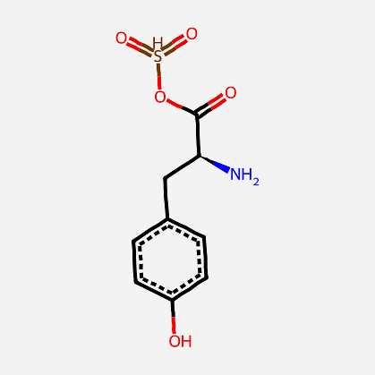 N[C@@H](Cc1ccc(O)cc1)C(=O)O[SH](=O)=O